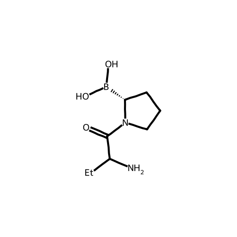 CCC(N)C(=O)N1CCC[C@H]1B(O)O